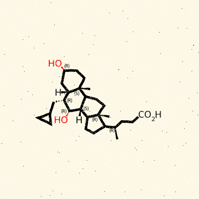 C[C@H](CCC(=O)O)C1CCC2[C@H]3C(CC[C@@]21C)[C@@]1(C)CC[C@@H](O)C[C@H]1[C@@H](CC1CC1)[C@H]3O